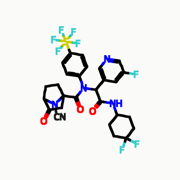 N#CN1C2CCC1(C(=O)N(c1ccc(S(F)(F)(F)(F)F)cc1)C(C(=O)NC1CCC(F)(F)CC1)c1cncc(F)c1)CC2=O